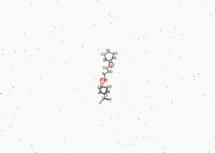 C=C(C)c1ccc(OCCCCOC2CCCCC2)cc1